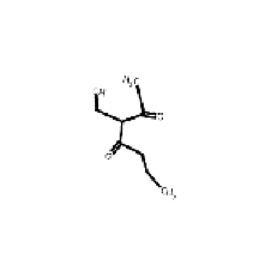 CCCC(=O)C(CO)C(C)=O